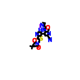 Cc1nc(C#N)cc(-c2ccnc3cc(CN4C(=O)C5C(C4=O)C5(C)C)sc23)c1NC(=O)C1CCN1I